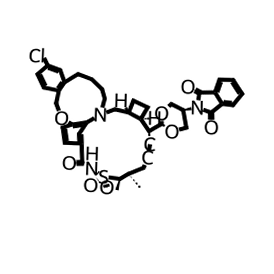 C[C@@H]1[C@@H](C)CCC[C@@H]([C@H]2OC[C@H](N3C(=O)c4ccccc4C3=O)CO2)[C@@H]2CC[C@H]2CN2CCCCc3cc(Cl)ccc3COc3ccc(cc32)C(=O)NS1(=O)=O